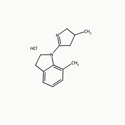 Cc1cccc2c1N(C1=NCC(C)C1)CC2.Cl